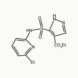 CCOC(=O)c1cn[nH]c1S(=O)(=O)Nc1cccc(CC)n1